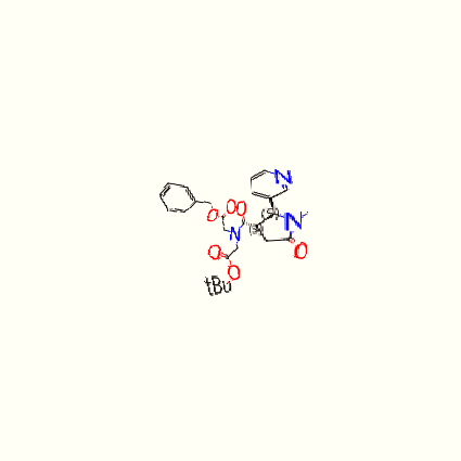 CN1C(=O)C[C@H](C(=O)N(CC(=O)OCc2ccccc2)CC(=O)OC(C)(C)C)[C@H]1c1cccnc1